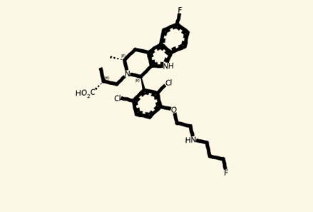 C[C@H](CN1[C@H](c2c(Cl)ccc(OCCNCCCF)c2Cl)c2[nH]c3ccc(F)cc3c2C[C@H]1C)C(=O)O